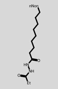 CCCCCCCCCCCCCCCCCC(=O)NNC(=O)CC